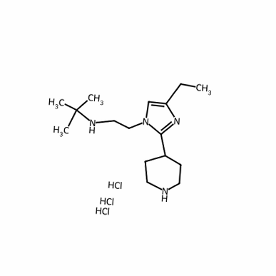 CCc1cn(CCNC(C)(C)C)c(C2CCNCC2)n1.Cl.Cl.Cl